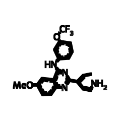 C/C=C(\C=C/N)c1nc(Nc2cccc(OC(F)(F)F)c2)c2cc(OC)ccc2n1